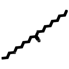 CCCCCCCCOC(=O)CCCCCOCCC